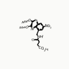 COc1nc2cc([N+](=O)[O-])cc(CNC(=O)CCC(=O)O)c2nc1OC